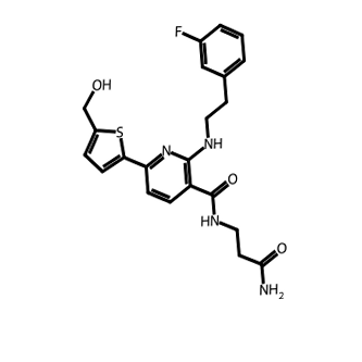 NC(=O)CCNC(=O)c1ccc(-c2ccc(CO)s2)nc1NCCc1cccc(F)c1